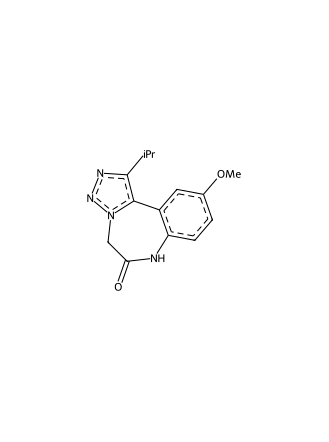 COc1ccc2c(c1)-c1c(C(C)C)nnn1CC(=O)N2